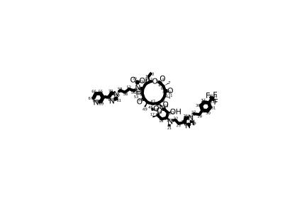 CC[C@H]1OC(=O)[C@H](C)C(=O)[C@H](C)[C@@H](O[C@@H]2O[C@H](C)C[C@H](N(C)CCc3cn(CCc4ccc(C(F)(F)F)cc4)nn3)[C@H]2O)[C@](C)(OC)C[C@@H](C)C(=O)[C@H](C)[C@H]2N(CCCCn3cnc(-c4cccnc4)c3)C(=O)O[C@]12C